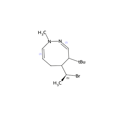 C[C@H](Br)C1C/C=C\N(C)/N=C\C1C(C)(C)C